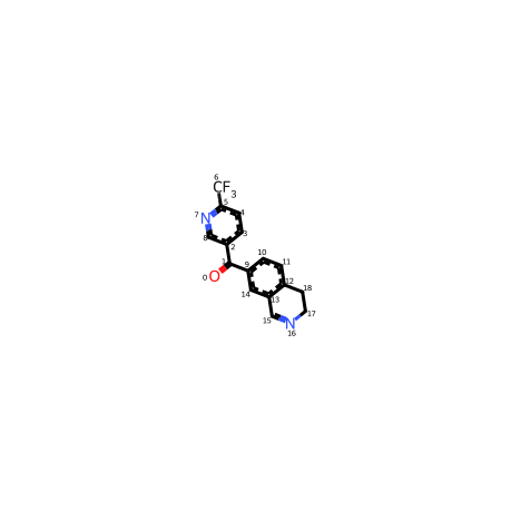 O=C(c1ccc(C(F)(F)F)nc1)c1ccc2c(c1)C=NCC2